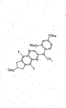 COc1ccc(N(C)c2cnc3c(F)c4c(c(F)c3n2)CC(C=O)C4)c(OC)c1